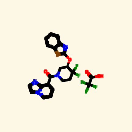 O=C(O)C(F)(F)F.O=C(c1cccn2ccnc12)N1CCC(F)(F)[C@@H](Oc2nc3ccccc3s2)C1